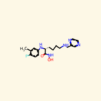 Cc1cc(N[C@H](CCCCNCc2cnccn2)C(=O)NO)ccc1F